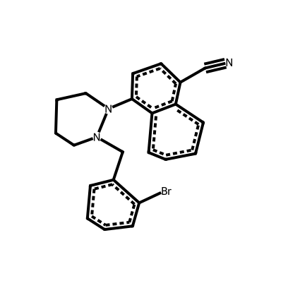 N#Cc1ccc(N2CCCCN2Cc2ccccc2Br)c2ccccc12